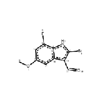 COc1cc(F)c2[nH]c(Br)c(C=O)c2c1